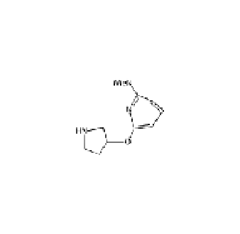 CNc1cccc(OC2CCNC2)n1